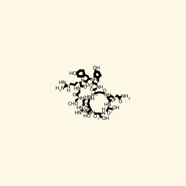 C[C@@H](O)[C@@H]1NC(=O)C(CSCC(N)=O)NC(=O)C[C@@H](C(=O)N[C@@H](Cc2ccc(O)cc2)C(=O)NC(Cc2ccc(O)cc2)C(=O)N[C@@H](CCCNC(=N)N)C(=O)NCC(=O)NCC=O)NN[C@@H](CCCNC(=N)N)C(=O)C(=O)[C@H]([C@@H](C)O)NC(=O)[C@H]([C@@H](C)O)NC1=O